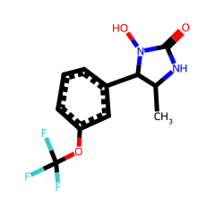 CC1NC(=O)N(O)C1c1cccc(OC(F)(F)F)c1